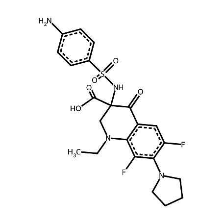 CCN1CC(NS(=O)(=O)c2ccc(N)cc2)(C(=O)O)C(=O)c2cc(F)c(N3CCCC3)c(F)c21